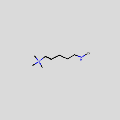 CCNCCCCC[N+](C)(C)C